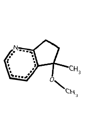 COC1(C)CCc2ncccc21